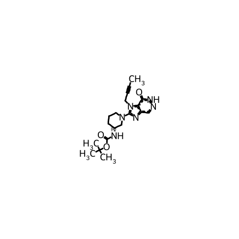 CC#CCn1c(N2CCC[C@@H](NC(=O)OC(C)(C)C)C2)nc2cn[nH]c(=O)c21